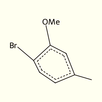 COc1cc(C)ccc1Br